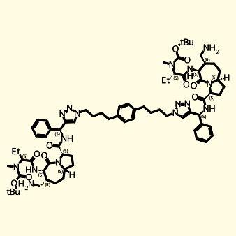 CC[C@@H](C(=O)N[C@@H]1C(=O)N2[C@@H](CC[C@@H]1CN)CC[C@H]2C(=O)N[C@@H](c1ccccc1)c1cn(CCCCc2ccc(CCCCn3cc([C@@H](NC(=O)[C@@H]4CC[C@@H]5CC[C@H](CN)[C@H](NC(=O)[C@H](CC)N(C)C(=O)OC(C)(C)C)C(=O)N54)c4ccccc4)nn3)cc2)nn1)N(C)C(=O)OC(C)(C)C